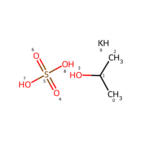 CC(C)O.O=S(=O)(O)O.[KH]